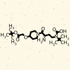 CC(C)(C)OC(=O)COC1CCN(C(=O)[C@@H](N)CCN(C(=O)O)C(C)(C)C)CC1